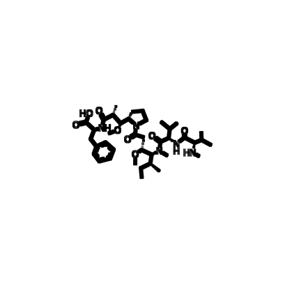 CC[C@H](C)[C@@H]([C@@H](CC(=O)N1CCC[C@H]1[C@H](OC)[C@@H](C)C(=O)NC(Cc1ccccc1)C(=O)O)OC)N(C)C(=O)[C@@H](NC(=O)[C@@H](NC)C(C)C)C(C)C